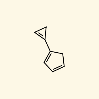 C1=CCC(C2=CC2)=C1